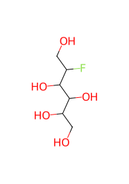 OCC(O)C(O)C(O)C(F)CO